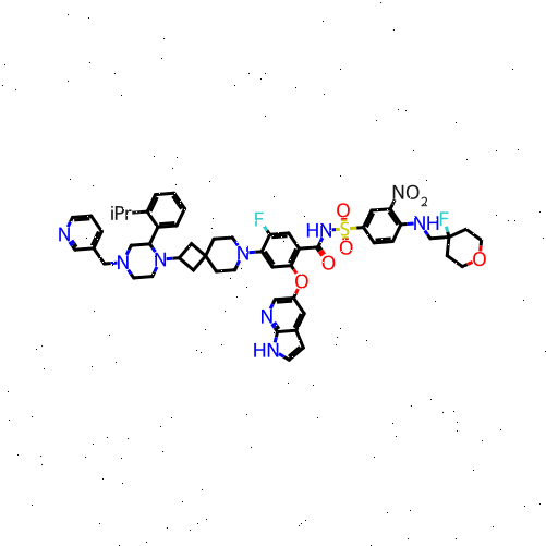 CC(C)c1ccccc1C1CN(Cc2cccnc2)CCN1C1CC2(CCN(c3cc(Oc4cnc5[nH]ccc5c4)c(C(=O)NS(=O)(=O)c4ccc(NCC5(F)CCOCC5)c([N+](=O)[O-])c4)cc3F)CC2)C1